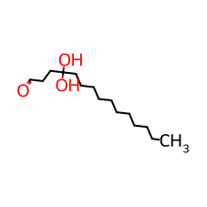 CCCCCCCCCCCC(O)(O)CCC=O